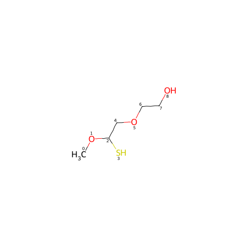 COC(S)COCCO